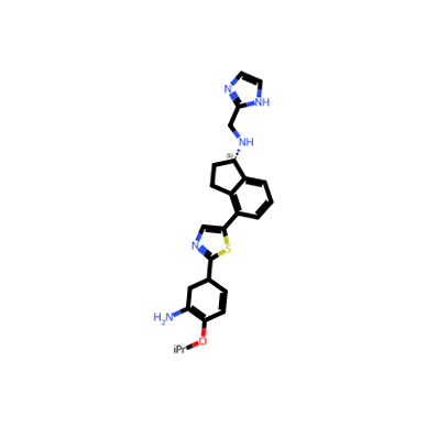 CC(C)OC1=C(N)CC(c2ncc(-c3cccc4c3CC[C@@H]4NCc3ncc[nH]3)s2)C=C1